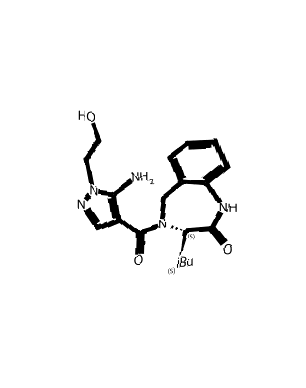 CC[C@H](C)[C@H]1C(=O)Nc2ccccc2CN1C(=O)c1cnn(CCO)c1N